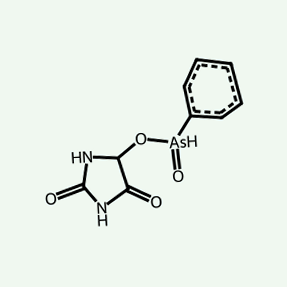 O=C1NC(=O)C(O[AsH](=O)c2ccccc2)N1